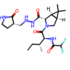 CC[C@@H](C)[C@H](NC(=O)C(F)F)C(=O)N1C[C@H]2[C@@H]([C@H]1C(=O)NNC[C@@H]1CCNC1=O)C2(C)C